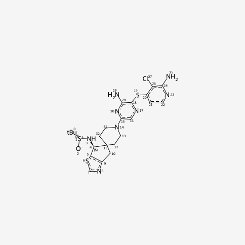 CC(C)(C)[S@@+]([O-])N[C@@H]1c2scnc2CC12CCN(c1cnc(Sc3ccnc(N)c3Cl)c(N)n1)CC2